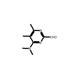 Cc1nc(C=O)nc(N(C)C)c1C